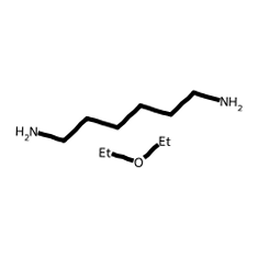 CCOCC.NCCCCCCN